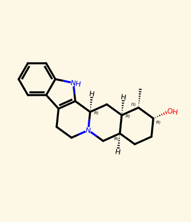 C[C@H]1[C@@H]2C[C@@H]3c4[nH]c5ccccc5c4CCN3C[C@@H]2CC[C@H]1O